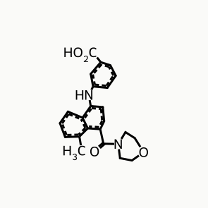 Cc1cccc2c(Nc3cccc(C(=O)O)c3)ccc(C(=O)N3CCOCC3)c12